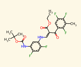 CCOC(=O)/C(=C\Nc1cc(NC(=O)OC(C)(C)C)c(F)cc1F)C(=O)c1cc(F)c(F)c(C)c1F